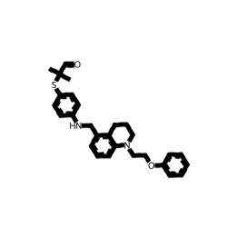 CC(C)(C=O)Sc1ccc(NCc2cccc3c2CCCN3CCOc2ccccc2)cc1